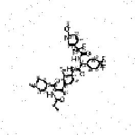 CCC(=O)NC(C(=O)N1CCN(C)CC1)C(C)c1ccc(NC(=O)C(NC(=O)C(F)(F)c2ccc(OC)nc2)C2CCC(F)(F)CC2)c(F)c1